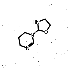 C1=NCCCN1[C]1NCCO1